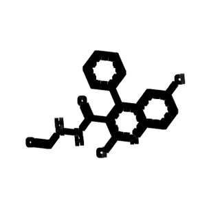 O=CNNC(=O)c1c(Cl)nc2ccc(Cl)cc2c1-c1ccccc1